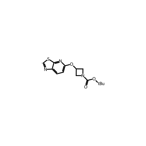 CC(C)(C)OC(=O)N1CC(Oc2ccc3n[c]sc3n2)C1